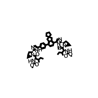 CCC(C)[C@H](NC(=O)OC)C(=O)N1C2CC2C[C@H]1c1ncc(-c2ccc(-c3ccc(-c4cnc([C@@H]5CC6CC6N5C(=O)[C@@H](NC(=O)OC)C(C)CC)[nH]4)c4c3CC3(CCCC3)C4)cc2)[nH]1